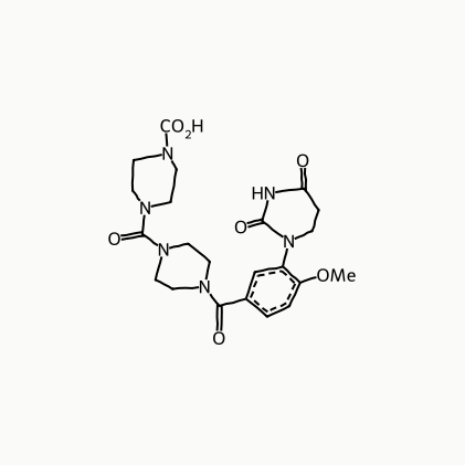 COc1ccc(C(=O)N2CCN(C(=O)N3CCN(C(=O)O)CC3)CC2)cc1N1CCC(=O)NC1=O